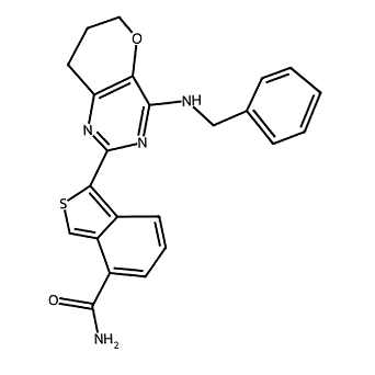 NC(=O)c1cccc2c(-c3nc4c(c(NCc5ccccc5)n3)OCCC4)scc12